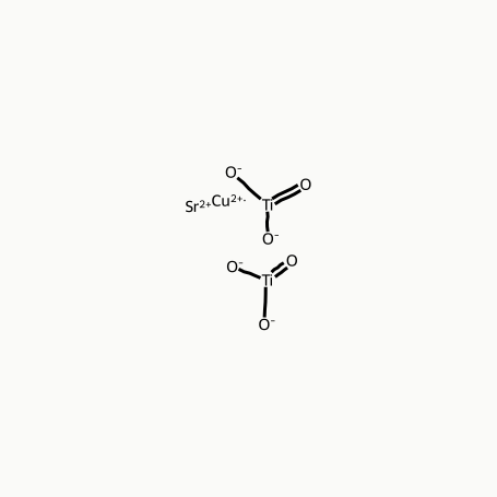 [Cu+2].[O]=[Ti]([O-])[O-].[O]=[Ti]([O-])[O-].[Sr+2]